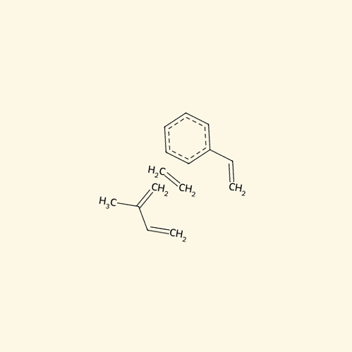 C=C.C=CC(=C)C.C=Cc1ccccc1